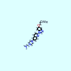 COCCOc1ccc2c(c1)ncn2-c1ccc2cc(N3CCN(CCN(C)C)CC3)ccc2n1